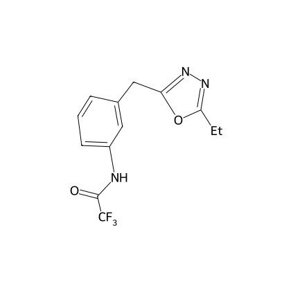 CCc1nnc(Cc2cccc(NC(=O)C(F)(F)F)c2)o1